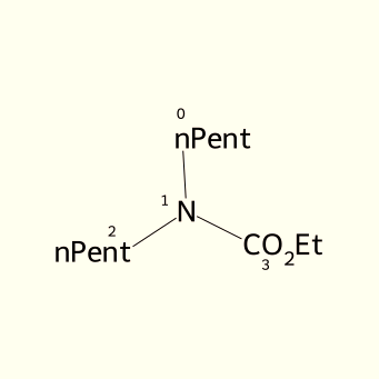 CCCCCN(CCCCC)C(=O)OCC